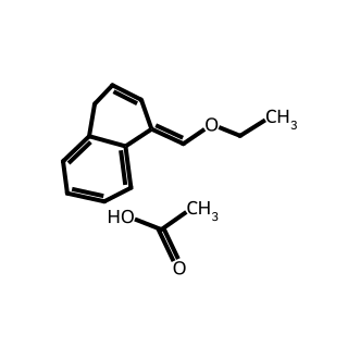 CC(=O)O.CCOC=C1C=CCc2ccccc21